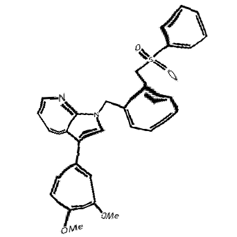 COc1ccc(-c2cn(Cc3ccccc3CS(=O)(=O)c3ccccc3)c3ncccc23)cc1OC